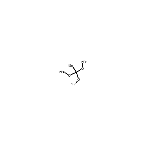 CCCO[C]([Sn])(OCCC)OCCC